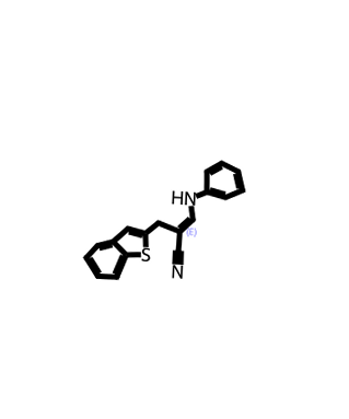 N#C/C(=C/Nc1ccccc1)Cc1cc2ccccc2s1